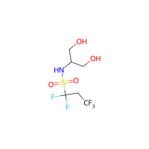 O=S(=O)(NC(CO)CO)C(F)(F)CC(F)(F)F